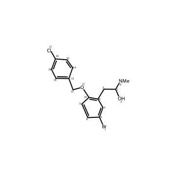 CNC(O)Cc1cc(Br)ccc1OCc1ccc(Cl)cc1